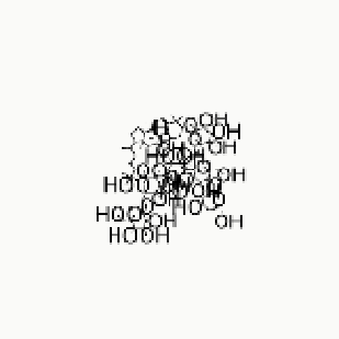 C[C@H](CC[C@@H](O[C@@H]1O[C@H](CO[C@@H]2O[C@H](CO)[C@@H](O)[C@H](O)[C@H]2O)[C@@H](O)[C@H](O)[C@H]1O[C@@H]1O[C@H](CO)C[C@H](O)[C@H]1O)C(C)(C)O)[C@H]1CC[C@@]2(C)[C@@H]3CC=C4[C@@H](CC[C@H](O[C@@H]5O[C@H](CCO[C@@H]6O[C@H](CO)[C@@H](O[C@@H]7C[C@@H](O)C[C@@H](CO)O7)[C@H](O)[C@H]6O)[C@@H](O)[C@H](O)[C@H]5O)C4(C)C)[C@]3(C)[C@H](O)C[C@]12C